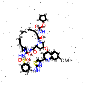 COc1ccc2c(O[C@@H]3CC4C(=O)N[C@]5(C(=O)NS(=O)(=O)c6ccccc6)CC5/C=C\CCCCC[C@H](NC(=O)OC5CCCC5)C(=O)N4C3)cc(-c3csc(NC(C)C)n3)nc2c1